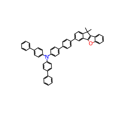 CC1(C)c2ccc(-c3ccc(-c4ccc(N(c5ccc(-c6ccccc6)cc5)c5ccc(-c6ccccc6)cc5)cc4)cc3)cc2-c2oc3ccccc3c21